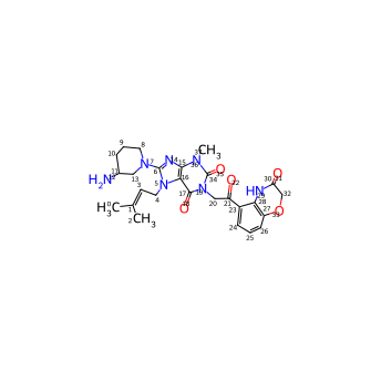 CC(C)=CCn1c(N2CCCC(N)C2)nc2c1c(=O)n(CC(=O)c1cccc3c1NC(=O)CO3)c(=O)n2C